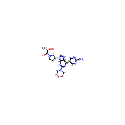 C[C@@H](O)C(=O)N1CCC(n2cnc3c(-c4cnc(N)nc4)nc(N4CCOCC4)nc32)C1